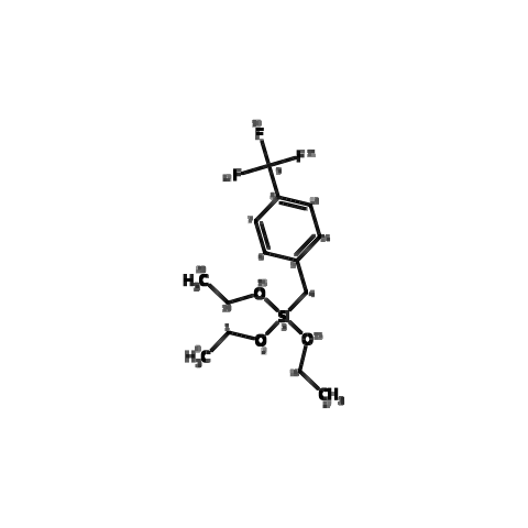 CCO[Si](Cc1ccc(C(F)(F)F)cc1)(OCC)OCC